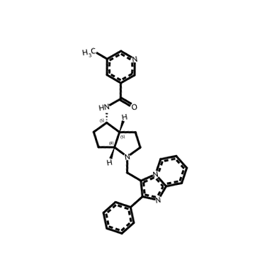 Cc1cncc(C(=O)N[C@H]2CC[C@@H]3[C@H]2CCN3Cc2c(-c3ccccc3)nc3ccccn23)c1